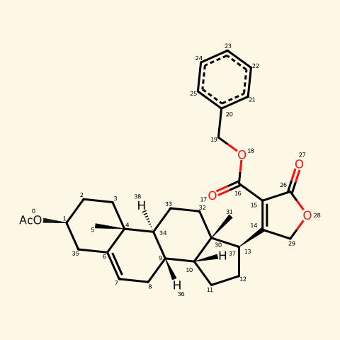 CC(=O)O[C@H]1CC[C@@]2(C)C(=CC[C@H]3[C@H]4CC[C@H](C5=C(C(=O)OCc6ccccc6)C(=O)OC5)[C@@]4(C)CC[C@@H]32)C1